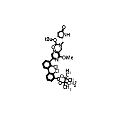 COc1nc(-c2cccc(-c3cccc(B4OC(C)(C)C(C)(C)O4)c3Cl)c2Cl)cnc1CN(C[C@@H]1CCC(=O)N1)C(=O)OC(C)(C)C